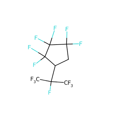 FC(F)(F)C(F)(C1CC(F)(F)C(F)(F)C1(F)F)C(F)(F)F